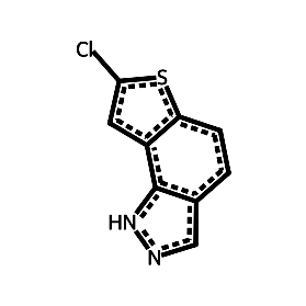 Clc1cc2c(ccc3cn[nH]c32)s1